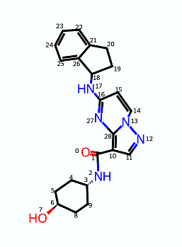 O=C(N[C@H]1CC[C@H](O)CC1)c1cnn2ccc(NC3CCc4ccccc43)nc12